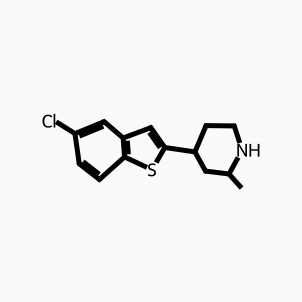 CC1CC(c2cc3cc(Cl)ccc3s2)CCN1